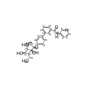 O=C(Nc1cccnc1)c1cccc(-c2ccc(OC(O)C3(O)C(O)C(O)C3CO)cc2)c1